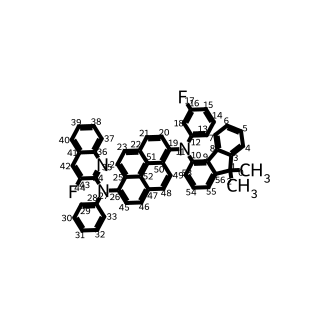 CC1(C)c2ccccc2-c2c(N(c3cccc(F)c3)c3ccc4ccc5c(N(c6ccccc6)c6nc7ccccc7cc6F)ccc6ccc3c4c65)cccc21